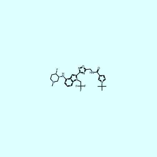 CN1CC[C@@H](F)[C@@H](Nc2cccc3c2cc(-c2noc(CNC(=O)c4ccn(C(C)(C)C)c4)n2)n3CC(F)(F)F)C1